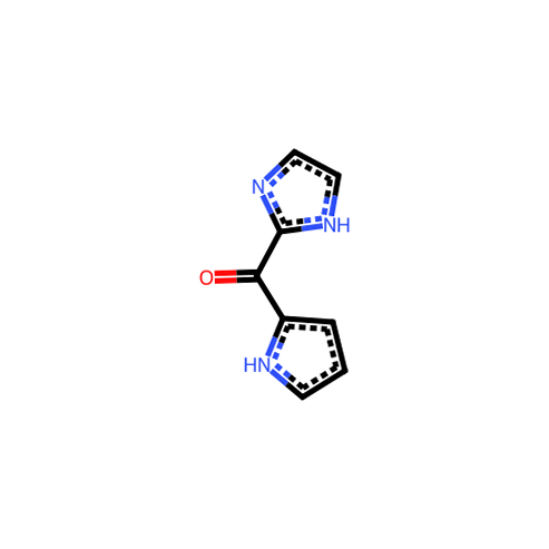 O=C(c1ccc[nH]1)c1ncc[nH]1